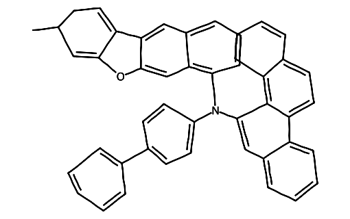 CC1C=c2oc3cc4c(N(c5ccc(-c6ccccc6)cc5)c5cc6ccccc6c6ccc7ccccc7c56)cccc4cc3c2=CC1